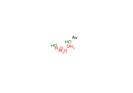 Cl.Cl.O.O.O.[Au]